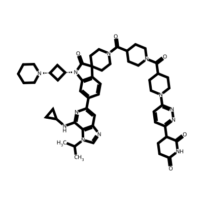 CC(C)n1cnc2cc(-c3ccc4c(c3)N([C@H]3C[C@@H](N5CCCCC5)C3)C(=O)C43CCN(C(=O)C4CCN(C(=O)C5CCN(c6ccc(C7CCC(=O)NC7=O)nn6)CC5)CC4)CC3)nc(NC3CC3)c21